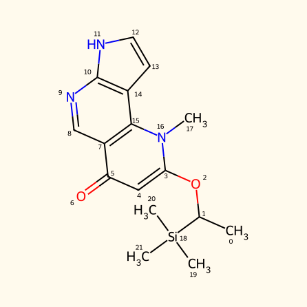 CC(Oc1cc(=O)c2cnc3[nH]ccc3c2n1C)[Si](C)(C)C